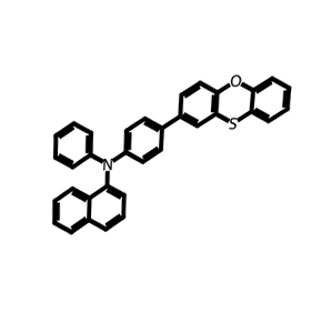 c1ccc(N(c2ccc(-c3ccc4c(c3)Sc3ccccc3O4)cc2)c2cccc3ccccc23)cc1